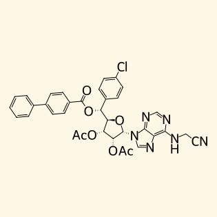 CC(=O)O[C@H]1[C@@H](OC(C)=O)[C@@H](n2cnc3c(NCC#N)ncnc32)O[C@@H]1[C@H](OC(=O)c1ccc(-c2ccccc2)cc1)c1ccc(Cl)cc1